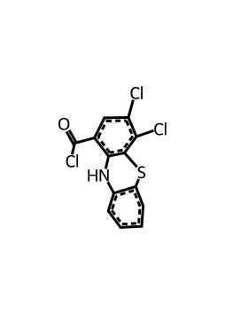 O=C(Cl)c1cc(Cl)c(Cl)c2c1Nc1ccccc1S2